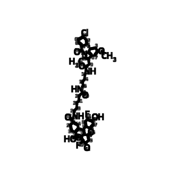 COc1ccc2c(c1)c(CC(=O)NCCCCNC(=O)CCCCCNC(=O)c1ccc(C(=O)O)c(-c3c4cc(F)c(=O)cc-4oc4cc(O)c(F)cc34)c1)c(C)n2C(=O)c1ccc(Cl)cc1